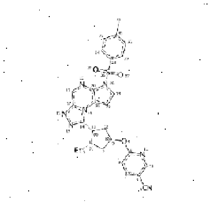 CC[C@H]1C[C@H](Oc2ccc(C#N)cn2)C[C@H]1c1nnc2cnc3c(ccn3S(=O)(=O)c3ccc(C)cc3)n12